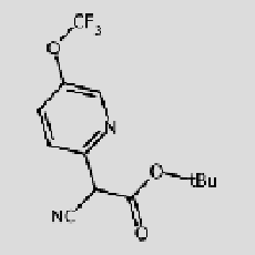 CC(C)(C)OC(=O)C(C#N)c1ccc(OC(F)(F)F)cn1